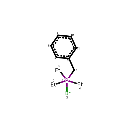 CCP(Br)(CC)(CC)Cc1ccccc1